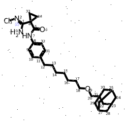 N/C(=N\Cl)C1(C(=O)Nc2ccc(CCCCCCCOCC34CC5CC(CC(C5)C3)C4)cc2)CC1